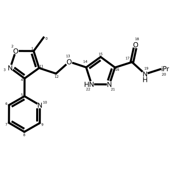 Cc1onc(-c2ccccn2)c1COc1cc(C(=O)NC(C)C)n[nH]1